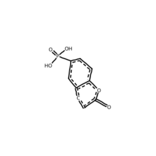 O=c1ccc2cc(P(=O)(O)O)ccc2o1